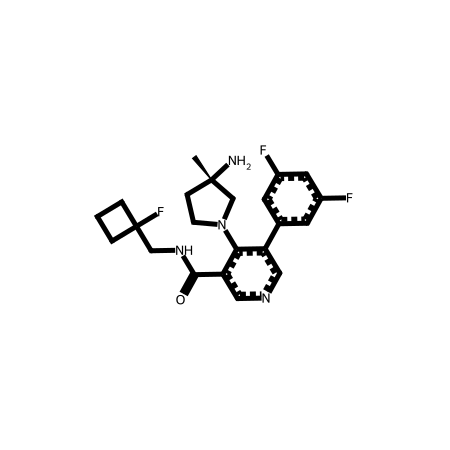 C[C@]1(N)CCN(c2c(C(=O)NCC3(F)CCC3)cncc2-c2cc(F)cc(F)c2)C1